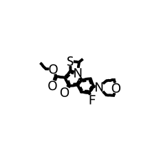 CCOC(=O)c1c2n(c3cc(N4CCOCC4)c(F)cc3c1=O)C(C)S2